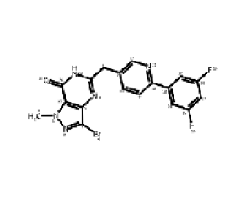 Cn1nc(Br)c2nc(Cc3ccc(-c4cc(F)cc(F)c4)nc3)[nH]c(=O)c21